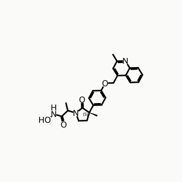 Cc1cc(COc2ccc([C@]3(C)CCN(C(C)C(=O)NO)C3=O)cc2)c2ccccc2n1